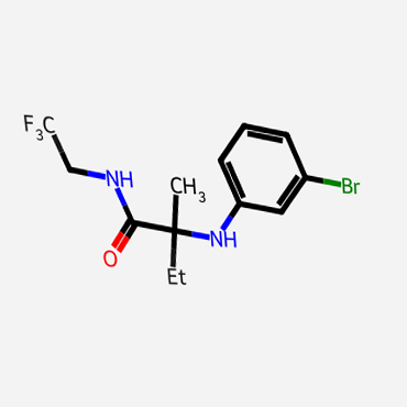 CCC(C)(Nc1cccc(Br)c1)C(=O)NCC(F)(F)F